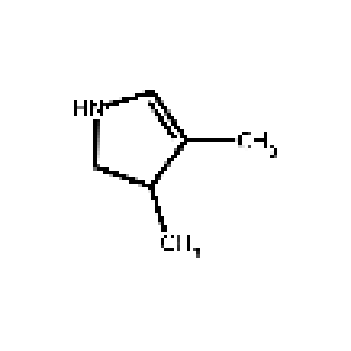 CC1=CNCC1C